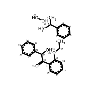 CC(C)c1ccccc1.CCOc1ccccc1C(=O)C(O)c1ccccc1.OO